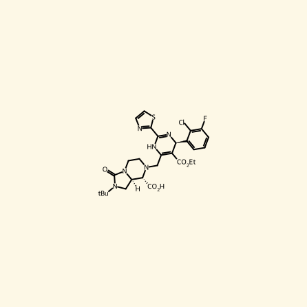 CCOC(=O)C1=C(CN2CCN3C(=O)N(C(C)(C)C)C[C@@H]3[C@H]2C(=O)O)NC(c2nccs2)=N[C@H]1c1cccc(F)c1Cl